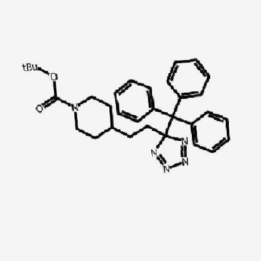 CC(C)(C)OC(=O)N1CCC(CCC2(C(c3ccccc3)(c3ccccc3)c3ccccc3)N=NN=N2)CC1